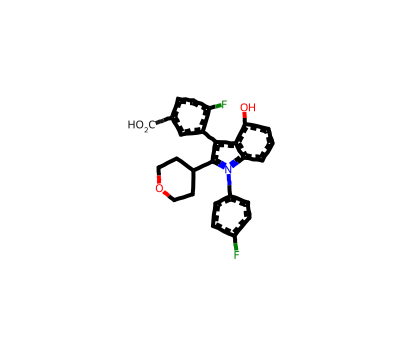 O=C(O)c1ccc(F)c(-c2c(C3CCOCC3)n(-c3ccc(F)cc3)c3cccc(O)c23)c1